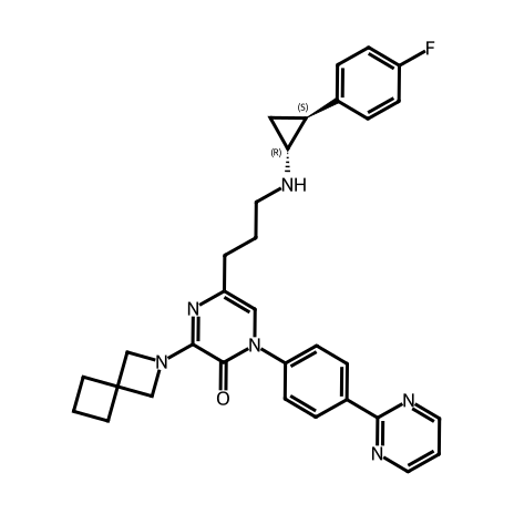 O=c1c(N2CC3(CCC3)C2)nc(CCCN[C@@H]2C[C@H]2c2ccc(F)cc2)cn1-c1ccc(-c2ncccn2)cc1